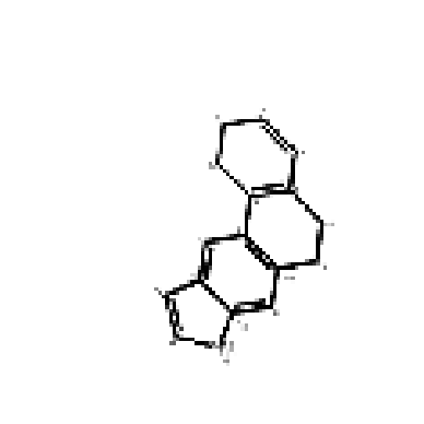 C1=CC2=C(CC1)c1cc3cc[nH]c3cc1CC2